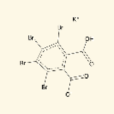 O=C([O-])c1c(Br)c(Br)c(Br)c(Br)c1C(=O)O.[K+]